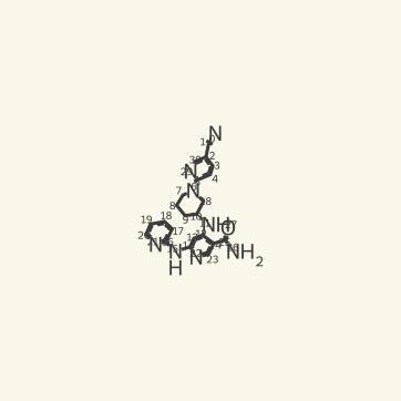 N#Cc1ccc(N2CCC[C@H](Nc3cc(Nc4ccccn4)ncc3C(N)=O)C2)nc1